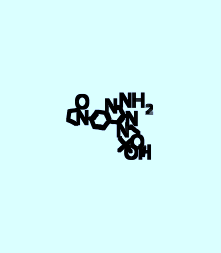 CCOCc1nc2c(N)nc3cc(N4CCCC4=O)ccc3c2n1CC(C)(C)O